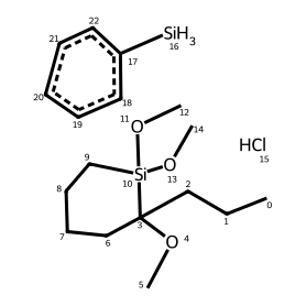 CCCC1(OC)CCCC[Si]1(OC)OC.Cl.[SiH3]c1ccccc1